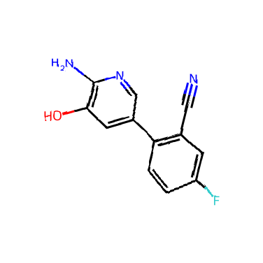 N#Cc1cc(F)ccc1-c1cnc(N)c(O)c1